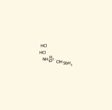 Cl.Cl.Cl.N.O.[SbH3]